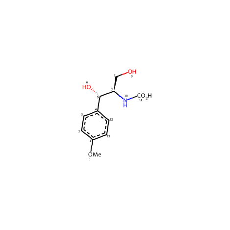 COc1ccc([C@H](O)[C@@H](CO)NC(=O)O)cc1